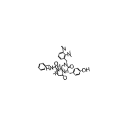 C=Nc1cccc(CN2C[C@H]3N(C(=O)CN(C)N3C(=O)NCc3ccccc3)[C@@H](Cc3ccc(O)cc3)C2=O)c1N(C)C